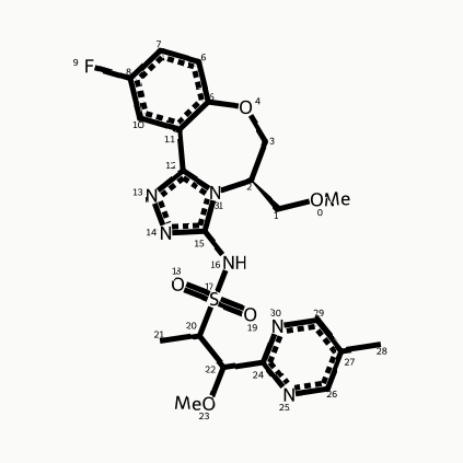 COC[C@@H]1COc2ccc(F)cc2-c2nnc(NS(=O)(=O)C(C)C(OC)c3ncc(C)cn3)n21